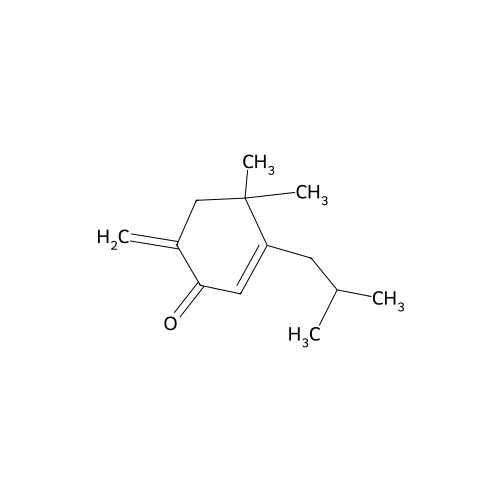 C=C1CC(C)(C)C(CC(C)C)=CC1=O